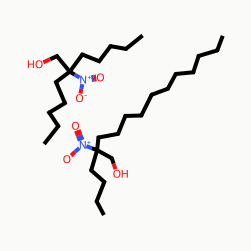 CCCCCC(CO)(CCCCC)[N+](=O)[O-].CCCCCCCCCCCC(CO)(CCCC)[N+](=O)[O-]